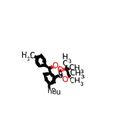 CCCCc1ccc(C(=O)c2ccc(C)cc2)c(B2OC(C)(C)C(C)(C)O2)c1